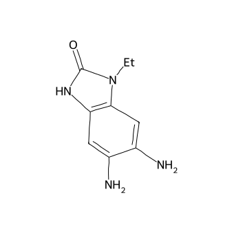 CCn1c(=O)[nH]c2cc(N)c(N)cc21